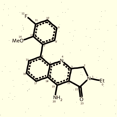 CCN1Cc2nc3c(-c4cccc(F)c4OC)cccc3c(N)c2C1=O